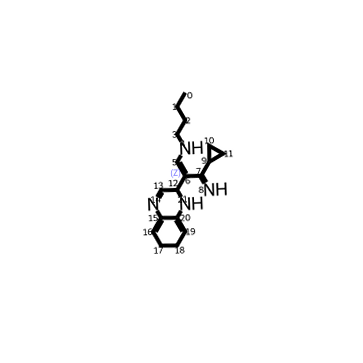 CCCCN/C=C(\C(=N)C1CC1)C1C=NC2=CCCC=C2N1